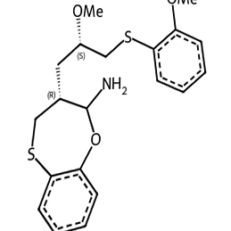 COc1ccccc1SC[C@H](C[C@H]1CSc2ccccc2OC1N)OC